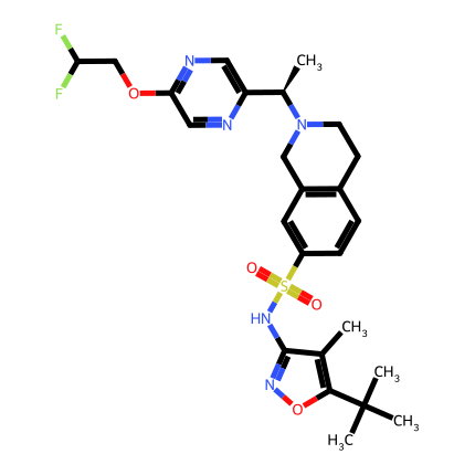 Cc1c(NS(=O)(=O)c2ccc3c(c2)CN([C@H](C)c2cnc(OCC(F)F)cn2)CC3)noc1C(C)(C)C